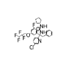 O=C(NC1CCCC1)NC(Cc1ccccc1)(c1cc(F)cc(OCC(F)(F)C(F)F)c1)c1ccc(Cl)cn1